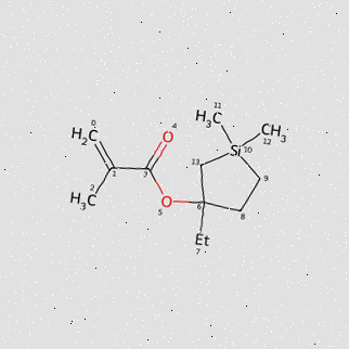 C=C(C)C(=O)OC1(CC)CC[Si](C)(C)C1